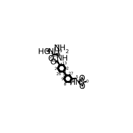 CS(=O)(=O)NCc1cccc(-c2ccc(C(=O)N[C@@H](CN)C(=O)NO)cc2)c1